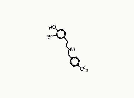 Oc1ccc(CCNCc2ccc(C(F)(F)F)cc2)cc1Br